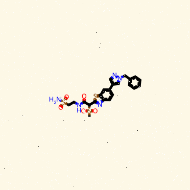 CS(=O)(=O)C(C(=O)NCCS(N)(=O)=O)c1nc2ccc(-c3cnn(Cc4ccccc4)c3)cc2s1